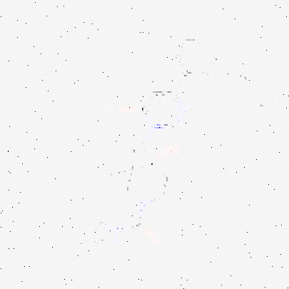 CC1CN(C(=O)N2CCC(O)(Cn3cnc(-c4ccccc4)cc3=O)C3(CCCC3)C2)C1